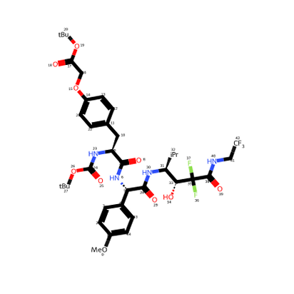 COc1ccc([C@H](NC(=O)[C@H](Cc2ccc(OCC(=O)OC(C)(C)C)cc2)NC(=O)OC(C)(C)C)C(=O)N[C@@H](C(C)C)[C@@H](O)C(F)(F)C(=O)NCC(F)(F)F)cc1